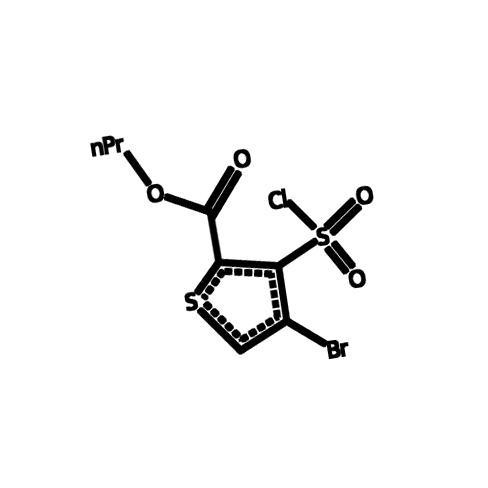 CCCOC(=O)c1scc(Br)c1S(=O)(=O)Cl